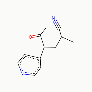 CC(=O)C(CC(C)C#N)c1ccncc1